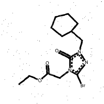 CCOC(=O)Cn1c(Br)nn(CC2CCCCC2)c1=O